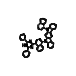 c1ccc(C2=NC(c3ccc(-n4c5ccccc5c5cc6c7ccccc7n(-c7cccc8ccccc78)c6cc54)c4ccccc34)=NC(c3ccccc3)N2)cc1